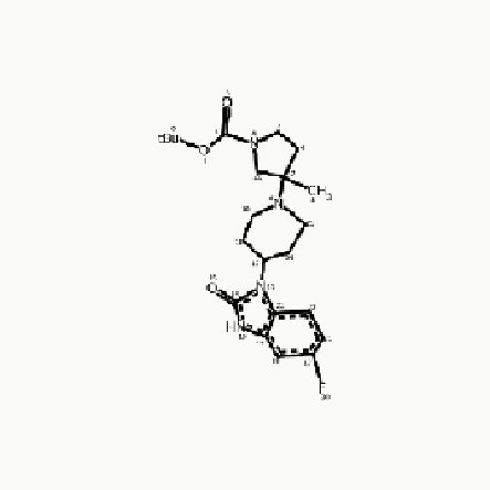 CC(C)(C)OC(=O)N1CCC(C)(N2CCC(n3c(=O)[nH]c4cc(F)ccc43)CC2)C1